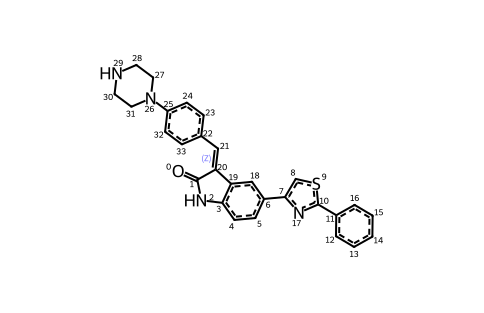 O=C1Nc2ccc(-c3csc(-c4ccccc4)n3)cc2/C1=C/c1ccc(N2CCNCC2)cc1